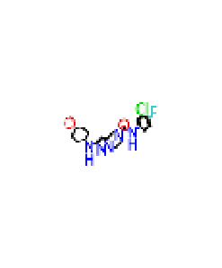 COC1CCC(Nc2cc3n(n2)CCN(C(=O)Nc2ccc(F)c(Cl)c2)C3)CC1